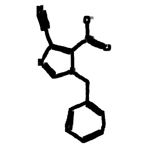 N#Cc1ncn(Cc2ccccc2)c1[N+](=O)[O-]